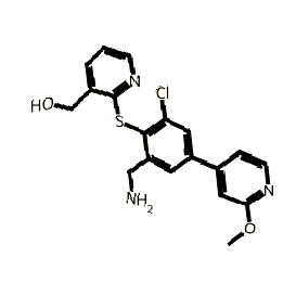 COc1cc(-c2cc(Cl)c(Sc3ncccc3CO)c(CN)c2)ccn1